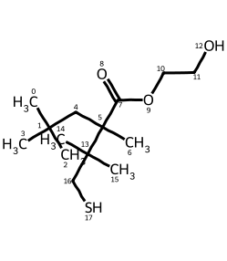 CC(C)(C)CC(C)(C(=O)OCCO)C(C)(C)CS